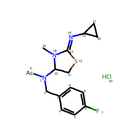 CC(=O)N(Cc1ccc(F)cc1)C1CSC(=NC2CC2)N1C.Cl